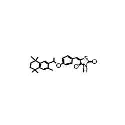 Cc1cc2c(cc1C(C)Oc1ccc(C=C3SC(=O)NC3=O)cc1)C(C)(C)CCC2(C)C